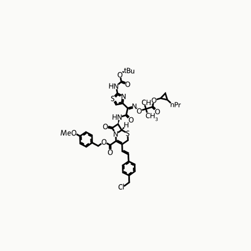 CCCC1CC1OC(=O)C(C)(C)O/N=C(\C(=O)N[C@@H]1C(=O)N2C(C(=O)OCc3ccc(OC)cc3)=C(/C=C/c3ccc(CCl)cc3)CS[C@@H]12)c1csc(NC(=O)OC(C)(C)C)n1